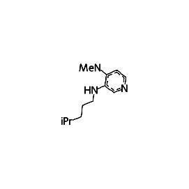 CNc1ccncc1NCCCC(C)C